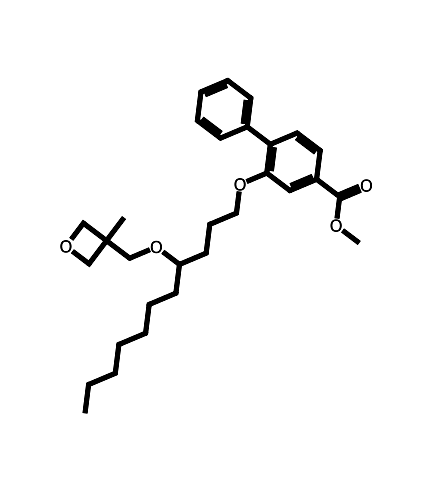 CCCCCCCC(CCCOc1cc(C(=O)OC)ccc1-c1ccccc1)OCC1(C)COC1